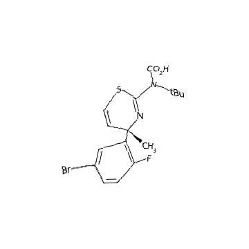 CC(C)(C)N(C(=O)O)C1=N[C@](C)(c2cc(Br)ccc2F)C=CS1